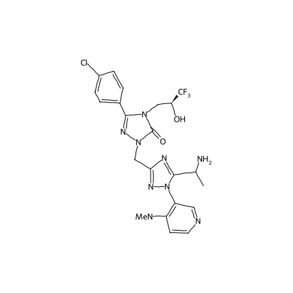 CNc1ccncc1-n1nc(Cn2nc(-c3ccc(Cl)cc3)n(C[C@H](O)C(F)(F)F)c2=O)nc1C(C)N